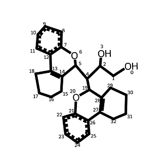 OCC(O)C(C1Oc2ccccc2C2=C1CCCC2)C1Oc2ccccc2C2=C1CCCC2